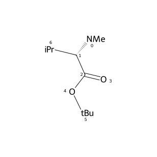 CN[C@H](C(=O)OC(C)(C)C)C(C)C